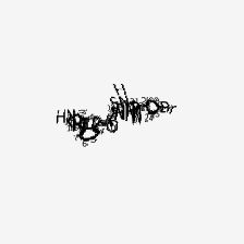 O=C(Nc1ccccc1N1CCNCC1)C1=CSC(Nc2cc(-c3ccc(Br)cc3)n[nH]2)N1